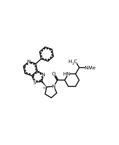 CNC(C)C1CCCC(C(=O)N2CCC[C@H]2c2nc3c(-c4ccccc4)nccc3s2)N1